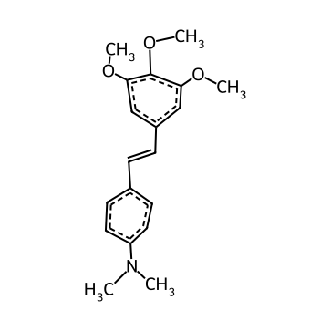 COc1cc(C=Cc2ccc(N(C)C)cc2)cc(OC)c1OC